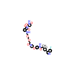 C[C@@H](C(=O)Nc1ccc(OC2CCN(C(=O)CCOCCOCCNc3cccc4c3C(=O)N(C3CCC(=O)NC3=O)C4=O)CC2)cc1)C1CCC(c2ccnc3ccc(F)cc23)CC1